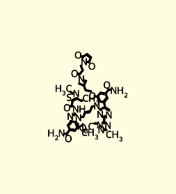 CCc1nc(C)sc1C(=O)Nc1nc2cc(C(N)=O)cc(OC)c2n1C/C=C/Cn1c2nc(-c3nc(C)nn3CC)ncc2c2cc(C(N)=O)cc(OCCC3CN(C(=O)CCN4C(=O)C=CC4=O)C3)c21